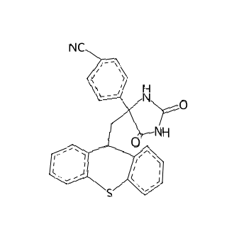 N#Cc1ccc(C2(CC3c4ccccc4Sc4ccccc43)NC(=O)NC2=O)cc1